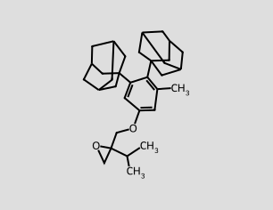 Cc1cc(OCC2(C(C)C)CO2)cc(C23CC4CC(CC(C4)C2)C3)c1C12CC3CC(CC(C3)C1)C2